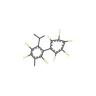 Cc1c(F)c(F)c(C(C)C)c(-c2c(F)c(F)c(F)c(F)c2F)c1F